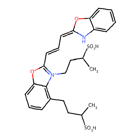 CC(CCc1cccc2oc(C=CC=C3Nc4ccccc4O3)[n+](CCC(C)S(=O)(=O)O)c12)S(=O)(=O)O